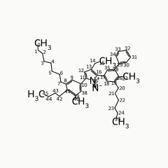 CCCCCCCCc1cc(C2=CC(CC)=C(c3cc(CCCCCC)c(C)c(-c4ccccc4)c3)[N+]2=[N-])cc(C)c1CCCC